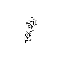 FC(F)C(F)(F)OC(F)(F)C(F)F.FC1C(F)(F)C(F)C(F)(F)C1(F)F